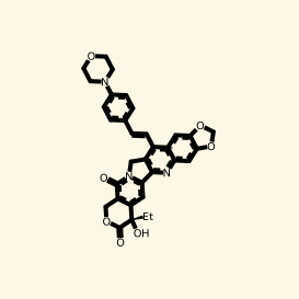 CC[C@@]1(O)C(=O)OCc2c1cc1n(c2=O)Cc2c-1nc1cc3c(cc1c2/C=C/c1ccc(N2CCOCC2)cc1)OCO3